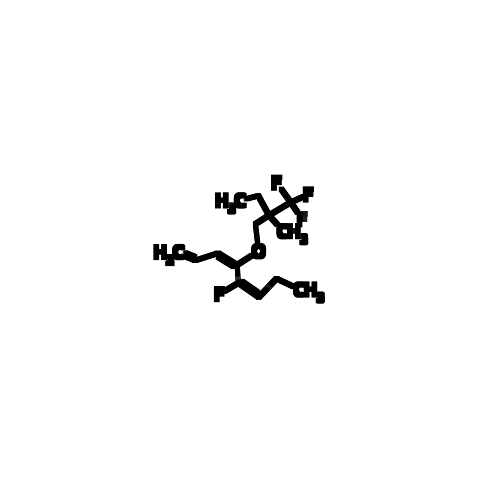 C=C/C=C(OCC(C)(CC)C(F)(F)F)\C(F)=C/CC